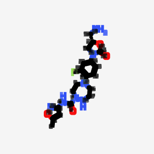 Cc1cc(NC(=O)N2CCN(c3ccc(N4C[C@H](CN)OC4=O)cc3F)CCN2)no1